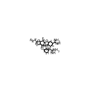 N=C(N)Nc1cccc(Oc2nc(Oc3cc(C(=N)N)ccc3O)c(F)c(OC(F)CCF)c2F)c1